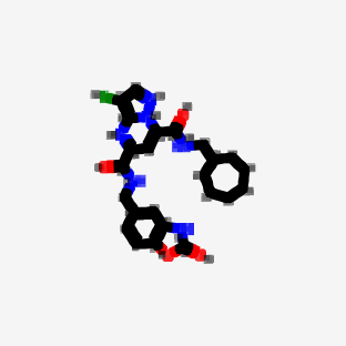 O=C(NCc1ccc2oc(=O)[nH]c2c1)c1cc(C(=O)NCC2CCCCCC2)n2ncc(F)c2n1